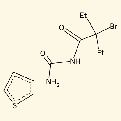 CCC(Br)(CC)C(=O)NC(N)=O.c1ccsc1